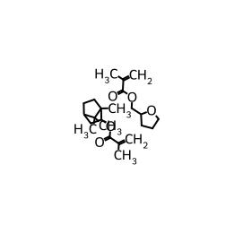 C=C(C)C(=O)OC1CC2CCC1(C)C2(C)C.C=C(C)C(=O)OCC1CCCO1